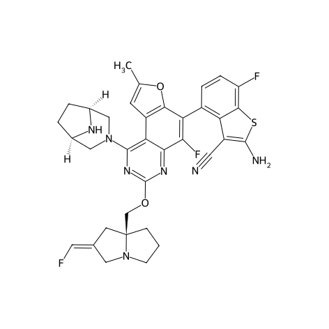 Cc1cc2c(o1)c(-c1ccc(F)c3sc(N)c(C#N)c13)c(F)c1nc(OC[C@@]34CCCN3C/C(=C\F)C4)nc(N3C[C@H]4CC[C@@H](C3)N4)c12